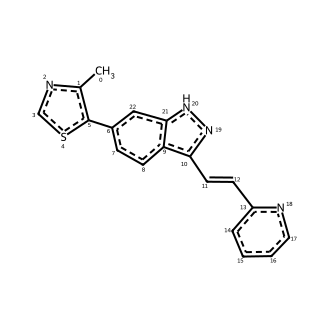 Cc1ncsc1-c1ccc2c(C=Cc3ccccn3)n[nH]c2c1